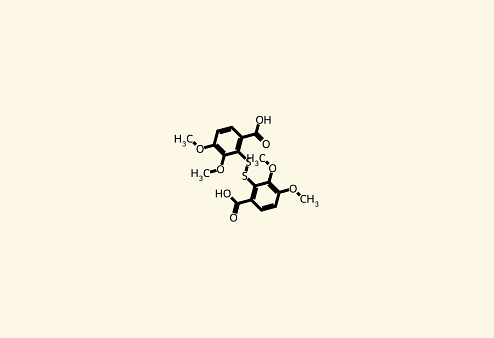 COc1ccc(C(=O)O)c(SSc2c(C(=O)O)ccc(OC)c2OC)c1OC